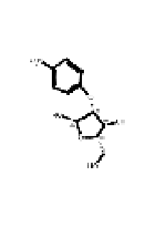 O=[N+]([O-])c1ccc(O[C@@H]2[C@@H](O)[C@H](CO)O[C@H]2O)cc1